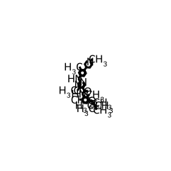 COc1nc(Nc2ccc(C3CCN(C)CC3)c(C)c2)ncc1C(=O)Nc1c(Cl)ccc(O[Si](C)(C)C(C)(C)C)c1C